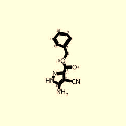 N#Cc1c(C(=O)OCc2ccccc2)n[nH]c1N